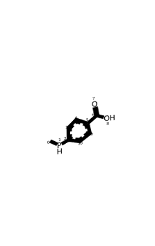 CPc1ccc(C(=O)O)cc1